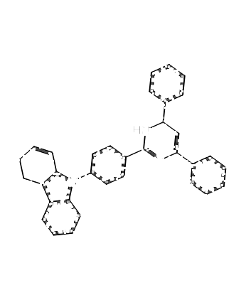 C1=Cc2c(c3ccccc3n2-c2ccc(C3=NC(c4ccccc4)=CC(c4ccccc4)N3)cc2)CC1